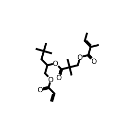 C=CC(=O)OCC(CC(C)(C)C)OC(=O)C(C)(C)COC(=O)C(C)=CC